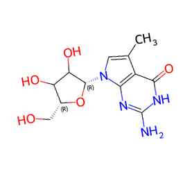 Cc1cn([C@@H]2O[C@H](CO)C(O)C2O)c2nc(N)[nH]c(=O)c12